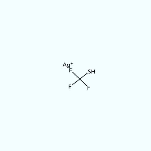 FC(F)(F)S.[Ag+]